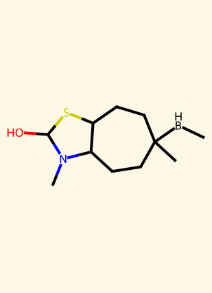 CBC1(C)CCC2SC(O)N(C)C2CC1